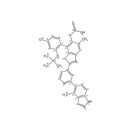 Cc1cc2nc(-c3ccnc(-c4ccc5[nH]ncc5c4C)c3)sc2c(-c2ccc(Cl)cc2OC(C)(C)C)c1CC(=O)O